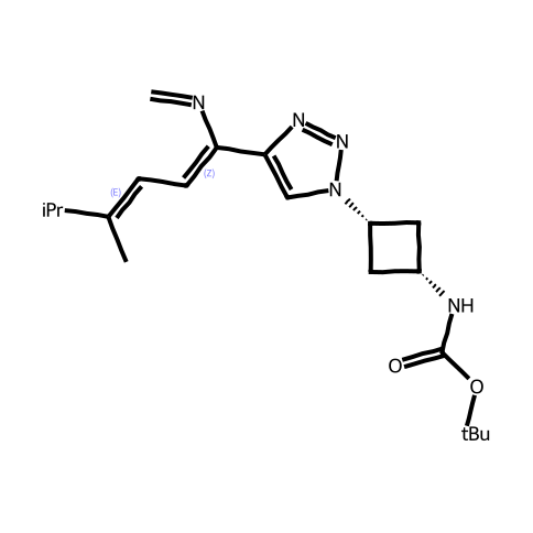 C=N/C(=C\C=C(/C)C(C)C)c1cn([C@H]2C[C@@H](NC(=O)OC(C)(C)C)C2)nn1